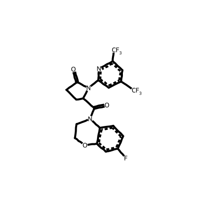 O=C(C1CCC(=O)N1c1cc(C(F)(F)F)cc(C(F)(F)F)n1)N1CCOc2cc(F)ccc21